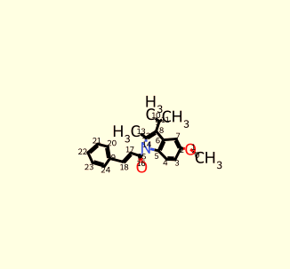 COc1ccc2c(c1)c(C(C)C)c(C)n2C(=O)/C=C/c1ccccc1